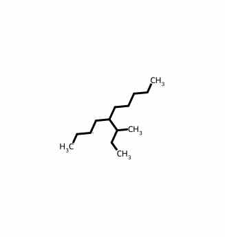 CC[CH]CC(CCCCC)C(C)CC